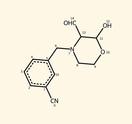 N#Cc1cccc(CN2CCOC(O)C2C=O)c1